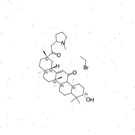 CCBr.CN1CCCC1CC(=O)[C@@]1(C)CC[C@]2(C)CC[C@]3(C)C(=CC(=O)C4[C@@]5(C)CC[C@H](O)C(C)(C)C5CC[C@]43C)[C@H]2C1